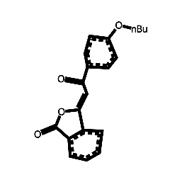 CCCCOc1ccc(C(=O)C=C2OC(=O)c3ccccc32)cc1